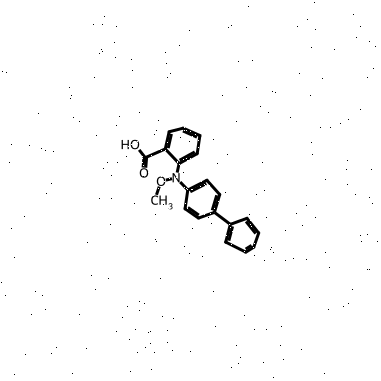 CON(c1ccc(-c2ccccc2)cc1)c1ccccc1C(=O)O